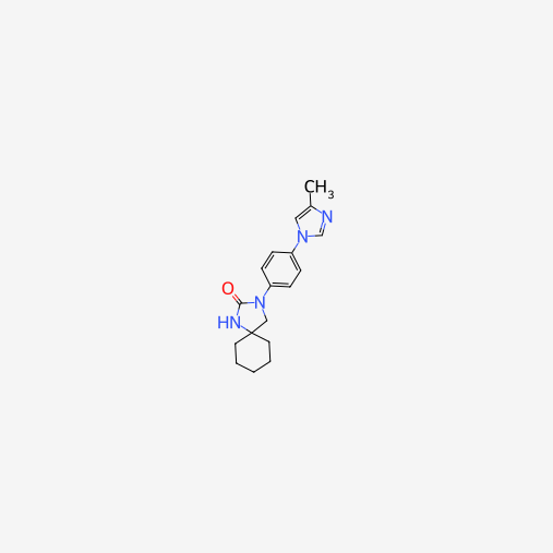 Cc1cn(-c2ccc(N3CC4(CCCCC4)NC3=O)cc2)cn1